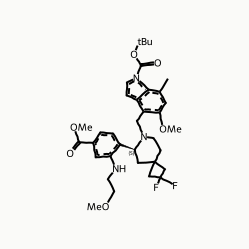 COCCNc1cc(C(=O)OC)ccc1[C@@H]1CC2(CCN1Cc1c(OC)cc(C)c3c1ccn3C(=O)OC(C)(C)C)CC(F)(F)C2